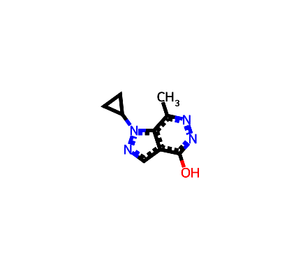 Cc1nnc(O)c2cnn(C3CC3)c12